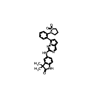 CC1(C)C(=O)Nc2ccc(Nc3ncc4ccc(-c5ccccc5N5CCCS5(=O)=O)n4n3)cc21